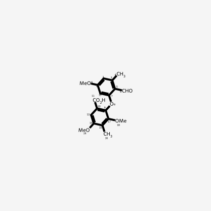 COc1cc(C)c(C=O)c(Oc2c(C(=O)O)cc(OC)c(C)c2OC)c1